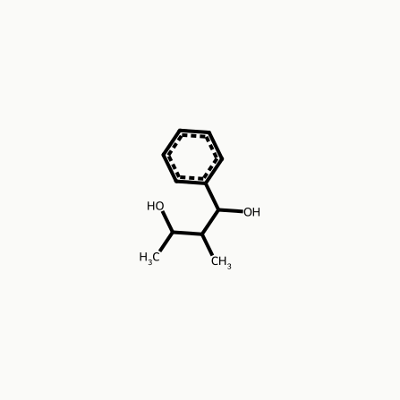 CC(O)C(C)C(O)c1ccccc1